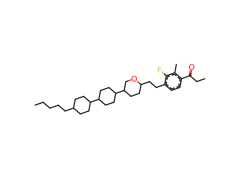 CCCCCC1CCC(C2CCC(C3CCC(CCc4ccc(C(=O)CC)c(C)c4F)OC3)CC2)CC1